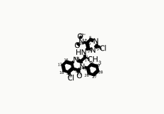 C[C@H](Nc1nc(Cl)ncc1[N+](=O)[O-])c1nc2cccc(Cl)c2c(=O)n1-c1ccccc1